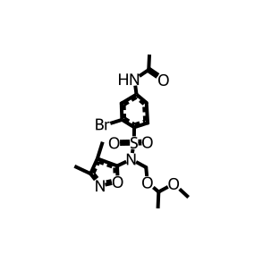 COC(C)OCN(c1onc(C)c1C)S(=O)(=O)c1ccc(NC(C)=O)cc1Br